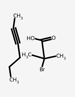 CC#CCCC.CC(C)(Br)C(=O)O